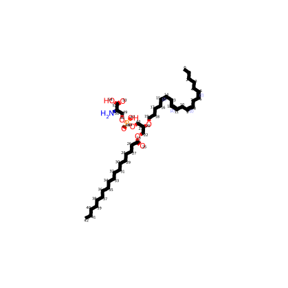 CCCCC/C=C\C/C=C\C/C=C\C/C=C\CCCCOC(COC(=O)CCCCCCCCCCCCCCCCC)COP(=O)(O)OCC(N)C(=O)O